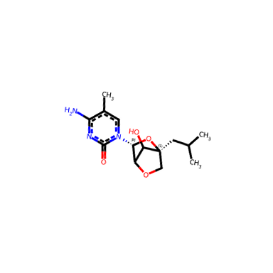 Cc1cn([C@@H]2O[C@@]3(CC(C)C)COC2C3O)c(=O)nc1N